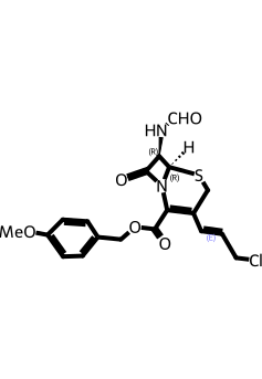 COc1ccc(COC(=O)C2=C(/C=C/CCl)CS[C@@H]3[C@H](NC=O)C(=O)N23)cc1